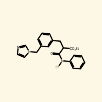 CCOC(=O)C(Cc1cccc(Cn2ccnc2)c1)C(=O)N(CC)c1ccccc1